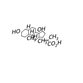 C/C(=C\[C@H]1CC[C@]2(O)[C@@H]3CC[C@@H]4C[C@@H](O)CC[C@]4(C)[C@H]3CC[C@]12C)C(=O)O